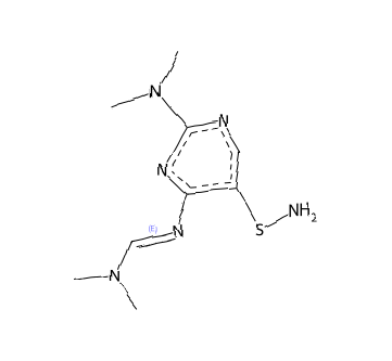 CN(C)/C=N/c1nc(N(C)C)ncc1SN